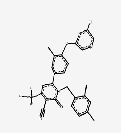 Cc1ccc(Cn2c(-c3ccc(Oc4cncc(Cl)n4)c(C)c3)cc(C(F)(F)F)c(C#N)c2=O)c(C)c1